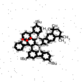 CC(C)(C)c1ccc(N2c3cc4oc5ccccc5c4c4c3B(c3sc5cc6c(cc5c32)C(C)(C)CCC6(C)C)n2c3ccc(C(C)(C)C)cc3c3cc(C(C)(C)C)cc-4c32)c(-c2ccccc2)c1